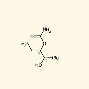 CC(C)(C)[C@H](O)[C@H](CN)OC(N)=O